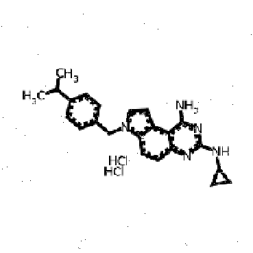 CC(C)c1ccc(Cn2ccc3c4c(N)nc(NC5CC5)nc4ccc32)cc1.Cl.Cl